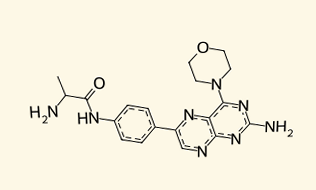 CC(N)C(=O)Nc1ccc(-c2cnc3nc(N)nc(N4CCOCC4)c3n2)cc1